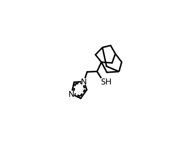 SC(Cn1ccnc1)C12CC3CC(CC(C3)C1)C2